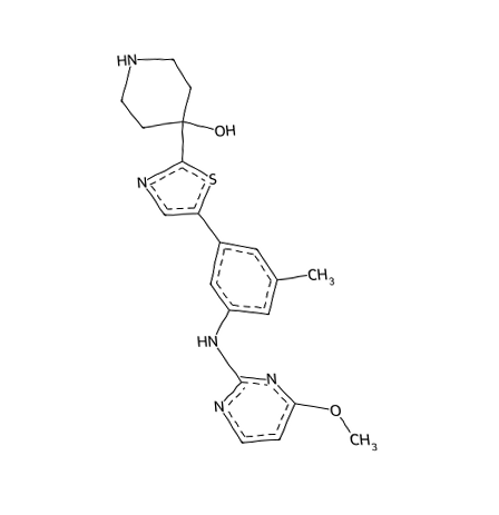 COc1ccnc(Nc2cc(C)cc(-c3cnc(C4(O)CCNCC4)s3)c2)n1